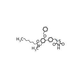 CCCCCCCC(=O)N(C)Cc1ccc(OCc2ccccc2)c(-c2ccc(/C=C3/SC(=O)NC3=O)cc2)c1